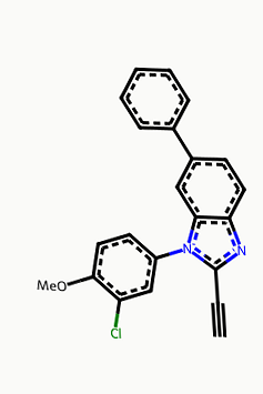 C#Cc1nc2ccc(-c3ccccc3)cc2n1-c1ccc(OC)c(Cl)c1